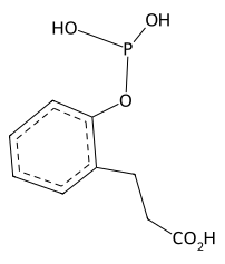 O=C(O)CCc1ccccc1OP(O)O